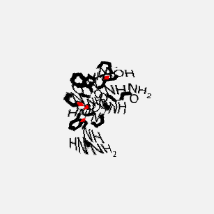 CC[C@H](C)[C@H](NC(=O)[C@H](CCC(N)=O)NC(=O)[C@@H]1CCCN1C(=O)[C@H](CCCNC(=N)N)NC(=O)[C@@H]1CCCN1C(=O)[C@H](Cc1c[nH]c2ccccc12)NC(=O)OCc1ccccc1)C(=O)N1CCC[C@H]1C(=O)N1CCC[C@@]1(C)C(=O)O